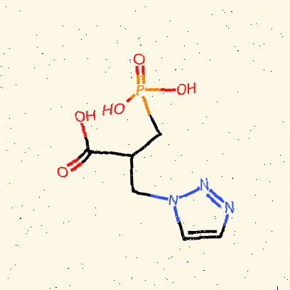 O=C(O)C(Cn1ccnn1)CP(=O)(O)O